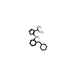 CC(C)C1=C([SiH2]c2ccccc2CC2CCCCC2)CC=C1